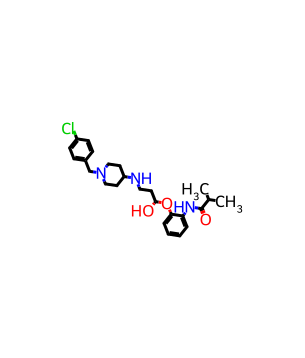 CC(C)C(=O)Nc1ccccc1OC(O)CCNC1CCN(Cc2ccc(Cl)cc2)CC1